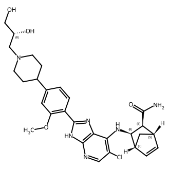 COc1cc(C2CCN(C[C@@H](O)CO)CC2)ccc1-c1nc2c(N[C@H]3[C@@H](C(N)=O)[C@@H]4C=C[C@H]3C4)c(Cl)cnc2[nH]1